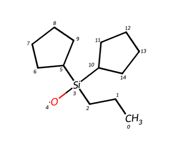 CCC[Si]([O])(C1CCCC1)C1CCCC1